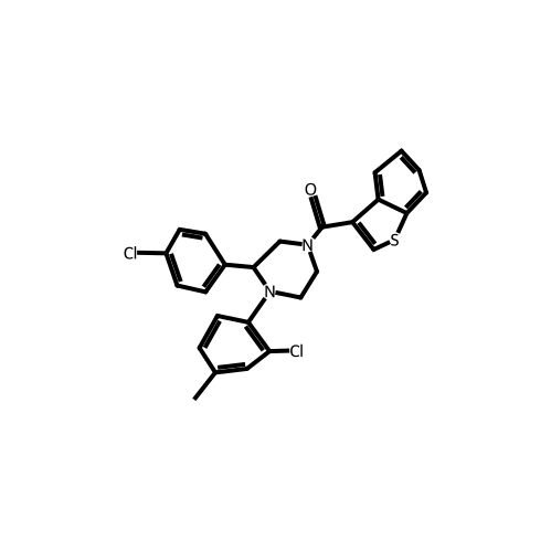 Cc1ccc(N2CCN(C(=O)c3csc4ccccc34)CC2c2ccc(Cl)cc2)c(Cl)c1